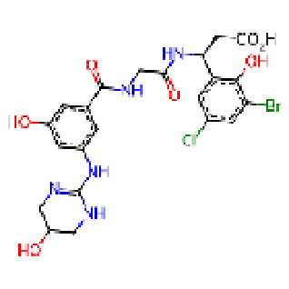 O=C(O)C[C@H](NC(=O)CNC(=O)c1cc(O)cc(NC2=NCC(O)CN2)c1)c1cc(Cl)cc(Br)c1O